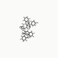 Cc1ccc(S(=O)(=O)N2C(c3ccccc3)CC(=O)[C@@H]3CN(S(=O)(=O)c4ccccc4Cl)C(c4ccccc4)CC32)cc1